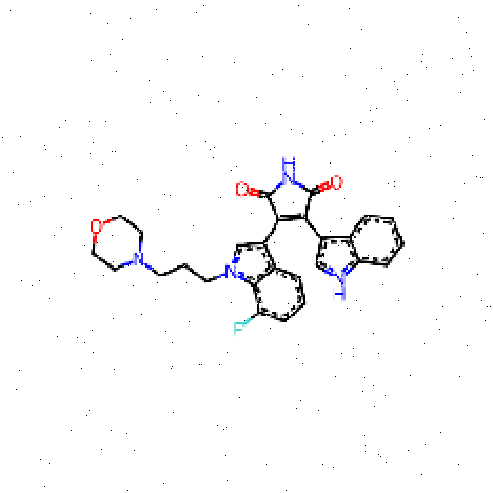 O=C1NC(=O)C(c2cn(CCCN3CCOCC3)c3c(F)cccc23)=C1c1c[nH]c2ccccc12